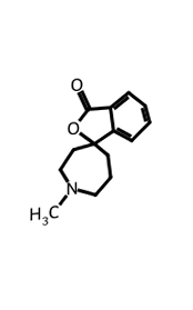 CN1CCCC2(CC1)OC(=O)c1ccccc12